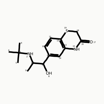 CC(NC(C)(C)C)C(O)c1ccc2c(c1)NC(=O)CS2